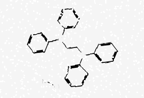 [Cl][Ni].c1ccc(P(CCP(c2ccccc2)c2ccccc2)c2ccccc2)cc1